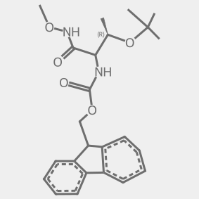 CONC(=O)C(NC(=O)OCC1c2ccccc2-c2ccccc21)[C@@H](C)OC(C)(C)C